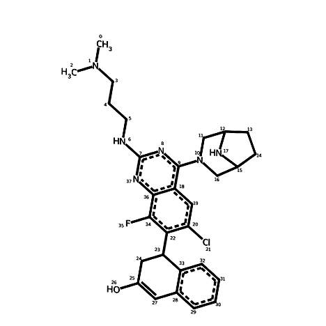 CN(C)CCCNc1nc(N2CC3CCC(C2)N3)c2cc(Cl)c(C3CC(O)=Cc4ccccc43)c(F)c2n1